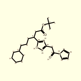 CC(C)(C)OC(=O)CC(CCCC1CCCCC1)c1nc(CC(=O)n2cccc2)no1